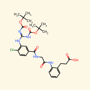 CC(C)(C)OC(=O)/N=C(\NC(=O)OC(C)(C)C)Nc1cc(C(=O)NCC(=O)Nc2ccccc2CCC(=O)O)ccc1Cl